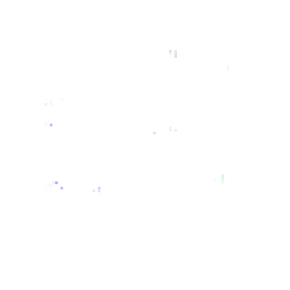 CCCNC(=O)c1c[nH]c2ncc(-c3nn(CCN(C)C)c4cc(Cl)cc(F)c34)nc12